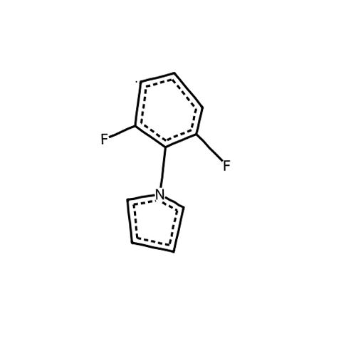 Fc1[c]ccc(F)c1-n1cccc1